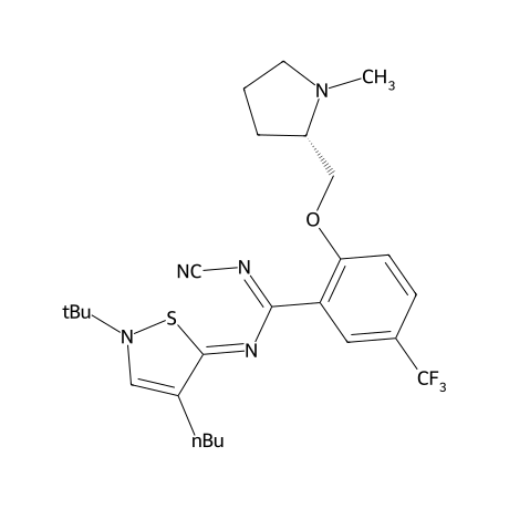 CCCCc1cn(C(C)(C)C)s/c1=N\C(=NC#N)c1cc(C(F)(F)F)ccc1OC[C@@H]1CCCN1C